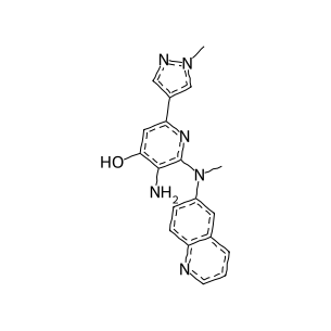 CN(c1ccc2ncccc2c1)c1nc(-c2cnn(C)c2)cc(O)c1N